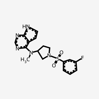 CN(c1ncnc2[nH]ccc12)C1CCN(S(=O)(=O)c2cccc(F)c2)C1